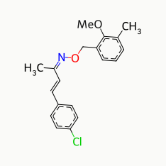 COc1c(C)cccc1CON=C(C)C=Cc1ccc(Cl)cc1